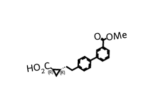 COC(=O)c1cccc(-c2ccc(CC[C@@H]3C[C@H]3C(=O)O)cc2)c1